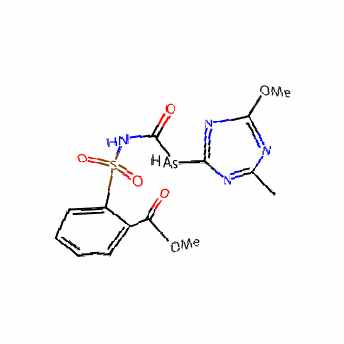 COC(=O)c1ccccc1S(=O)(=O)NC(=O)[AsH]c1nc(C)nc(OC)n1